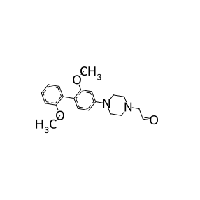 COc1ccccc1-c1ccc(N2CCN(CC=O)CC2)cc1OC